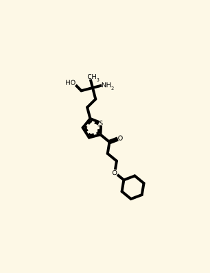 CC(N)(CO)CCc1ccc(C(=O)CCOC2CCCCC2)s1